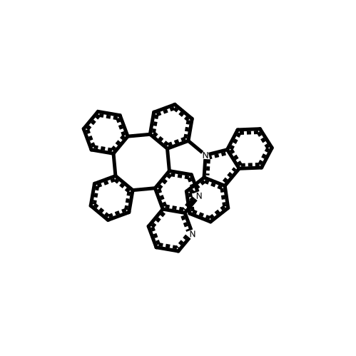 c1ccc2c(c1)-c1ccccc1-c1c(cnc3ncccc13)-c1c-2cccc1-n1c2ccccc2c2ccccc21